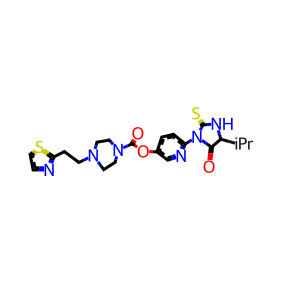 CC(C)C1NC(=S)N(c2ccc(OC(=O)N3CCN(CCc4nccs4)CC3)cn2)C1=O